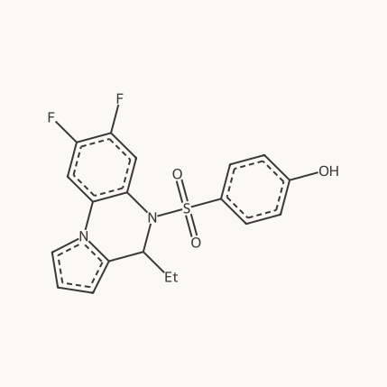 CCC1c2cccn2-c2cc(F)c(F)cc2N1S(=O)(=O)c1ccc(O)cc1